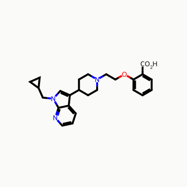 O=C(O)c1ccccc1OCCN1CCC(c2cn(CC3CC3)c3ncccc23)CC1